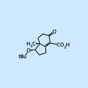 CC(C)(C)O[C@@H]1CCC2=C(C(=O)O)C(=O)CC[C@]21C